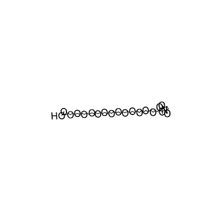 O=C(O)CCOCCOCCOCCOCCOCCOCCOCCOCCOCCOCCOCCOCCOCCC(=O)ON1C(=O)CCC1=O